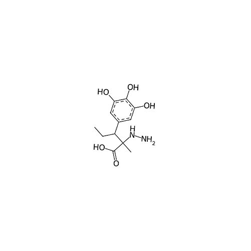 CCC(c1cc(O)c(O)c(O)c1)C(C)(NN)C(=O)O